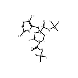 C[C@@H]1C[C@](Cc2nc(Cl)ccc2F)(C(=O)OC(C)(C)C)CCN1C(=O)OC(C)(C)C